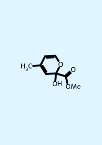 COC(=O)C1(O)C=C(C)C=CO1